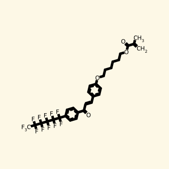 C=C(C)C(=O)OCCCCCCOc1ccc(/C=C/C(=O)c2ccc(C(F)(F)C(F)(F)C(F)(F)C(F)(F)C(F)(F)C(F)(F)F)cc2)cc1